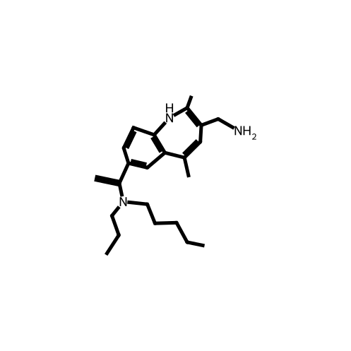 C=C(c1ccc2c(c1)C(C)=CC(CN)=C(C)N2)N(CCC)CCCCC